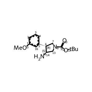 COc1cccc([C@@H]2CN(C(=O)OC(C)(C)C)C[C@H]2N)c1